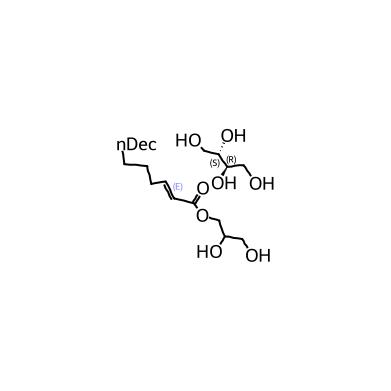 CCCCCCCCCCCCC/C=C/C(=O)OCC(O)CO.OC[C@@H](O)[C@@H](O)CO